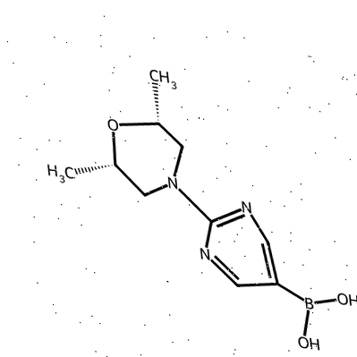 C[C@@H]1CN(c2ncc(B(O)O)cn2)C[C@H](C)O1